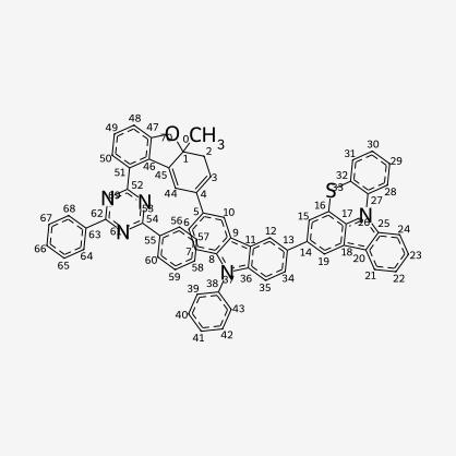 CC12CC=C(c3ccc4c(c3)c3cc(-c5cc6c7c(c5)c5ccccc5n7-c5ccccc5S6)ccc3n4-c3ccccc3)C=C1c1c(cccc1-c1nc(-c3ccccc3)nc(-c3ccccc3)n1)O2